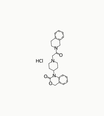 Cl.O=C(CN1CCC(N2C(=O)OCc3ccccc32)CC1)N1CCc2ccccc2C1